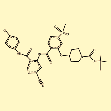 CC(C)(C)OC(=O)N1CCC(Oc2cc(S(C)(=O)=O)ccc2C(=O)Nc2cc(C#N)ccc2C(=O)Nc2ccc(Cl)cn2)CC1